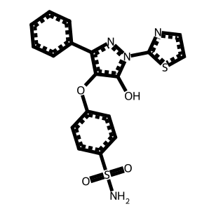 NS(=O)(=O)c1ccc(Oc2c(-c3ccccc3)nn(-c3nccs3)c2O)cc1